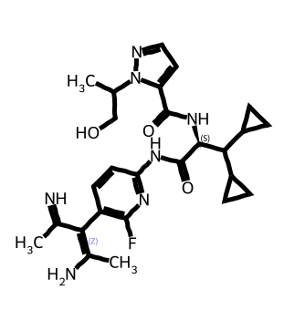 CC(=N)/C(=C(/C)N)c1ccc(NC(=O)[C@@H](NC(=O)c2ccnn2C(C)CO)C(C2CC2)C2CC2)nc1F